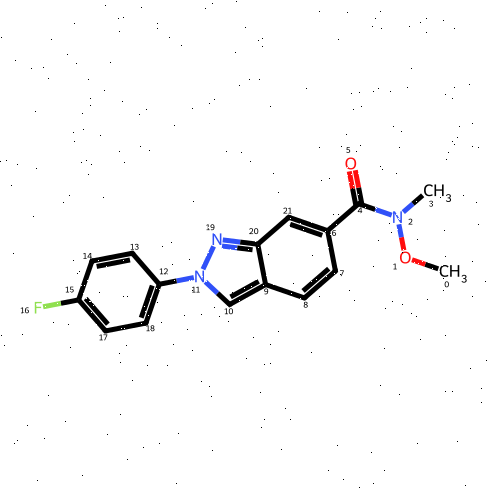 CON(C)C(=O)c1ccc2cn(-c3ccc(F)cc3)nc2c1